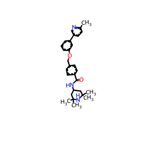 Cc1ccc(-c2cccc(OCc3ccc(C(=O)NC4CC(C)(C)NC(C)(C)C4)cc3)c2)cn1